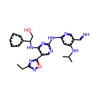 CCc1noc(-c2cnc(Nc3cc(NC(C)C)c(C=N)cn3)nc2NC(CO)c2ccccc2)n1